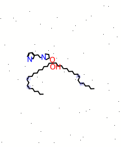 CCCC/C=C/C/C=C\CCCCCCCCC(O)(CCCCCCCC/C=C\C/C=C\CCCCC)OC1CCN(CCc2cccnc2)C1